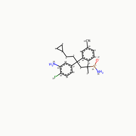 CC(C)(CC(CCC1CC1)(c1cccc(C#N)c1)c1ccc(F)c(N)c1)[S+](N)[O-]